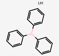 [LiH].c1ccc(B(c2ccccc2)c2ccccc2)cc1